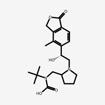 Cc1c([C@@H](O)CN2CCCC2CN(C(=O)O)C(C)(C)C)ccc2c1COC2=O